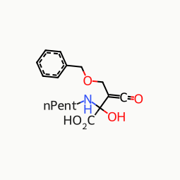 CCCCCNC(O)(C(=O)O)C(=C=O)COCc1ccccc1